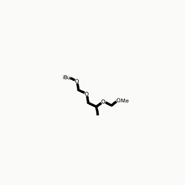 CCC(C)OCOCC(C)OCOC